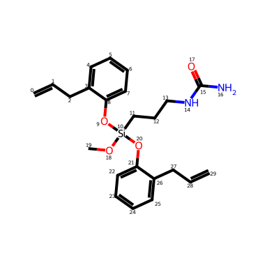 C=CCc1ccccc1O[Si](CCCNC(N)=O)(OC)Oc1ccccc1CC=C